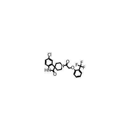 O=C(COc1ccccc1C(F)(F)F)N1CCC2(CC1)C(=O)Nc1ccc(Cl)cc12